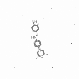 C[C@@H]1CN(c2ccc(NC[C@H]3CC[C@H](N)CC3)cc2)C[C@H](C)O1